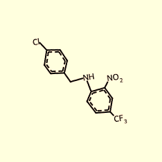 O=[N+]([O-])c1cc(C(F)(F)F)ccc1NCc1ccc(Cl)cc1